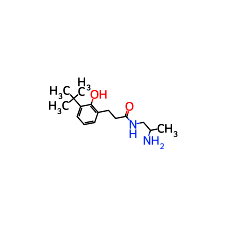 CC(N)CNC(=O)CCc1cccc(C(C)(C)C)c1O